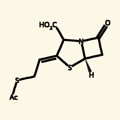 CC(=O)SCC=C1S[C@@H]2CC(=O)N2C1C(=O)O